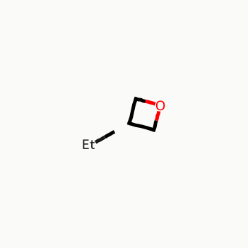 C1COC1.CCC